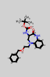 CC(C)(C)OC(=O)NC1CN(CCOCc2ccccc2)c2ccccc2NC1=O